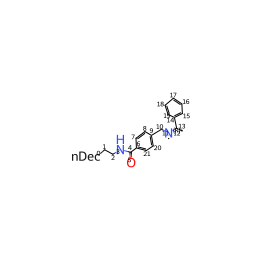 CCCCCCCCCCCCNC(=O)c1ccc(C[N][C@H](C)c2ccccc2)cc1